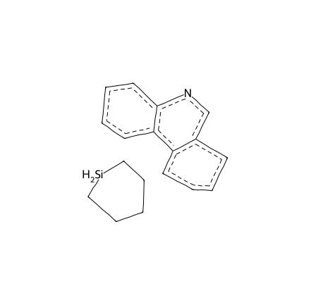 C1CC[SiH2]CC1.c1ccc2c(c1)cnc1ccccc12